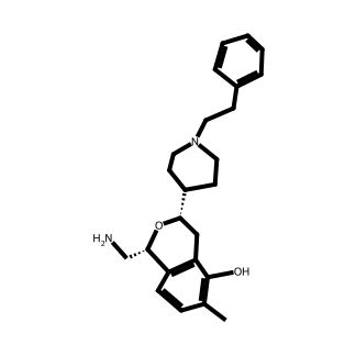 Cc1ccc2c(c1O)C[C@@H](C1CCN(CCc3ccccc3)CC1)O[C@H]2CN